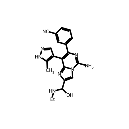 CCNC(O)c1cn2c(N)nc(-c3cccc(C#N)c3)c(-c3cn[nH]c3C)c2n1